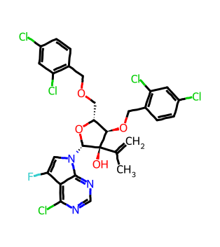 C=C(C)[C@@]1(O)[C@H](OCc2ccc(Cl)cc2Cl)[C@@H](COCc2ccc(Cl)cc2Cl)O[C@H]1n1cc(F)c2c(Cl)ncnc21